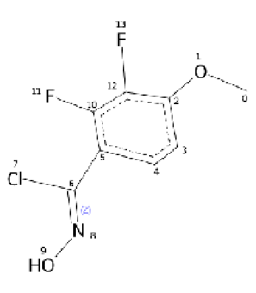 COc1ccc(/C(Cl)=N/O)c(F)c1F